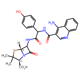 CC1(C)S[C@@H]2C(NC(=O)C(NC(=O)c3cnc4ccccc4c3N)c3ccc(O)cc3)C(=O)N2[C@H]1C(=O)O